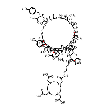 CC[C@@H]1NC(=O)[C@@H]2CSSC[C@@H](C(=O)N[C@@H](Cc3ccc(O)cc3)C(=O)O)NC(=O)CNC(=O)[C@H]([C@@H](C)O)NC(=O)[C@H](CSSC[C@H](NC(=O)[C@H](Cc3cnnn3C)NC(=O)CCCCCNC(=O)CN3CCN(CC(=O)O)CCN(CC(=O)O)CCN(CC(=O)O)CC3)C(=O)N[C@@H](CCC(=O)O)C(=O)N[C@@H](Cc3ccc(O)cc3)C(=O)N2)NC(=O)[C@H](C)NC(=O)[C@@H]2CCCN2C(=O)[C@H](CC(N)=O)NC1=O